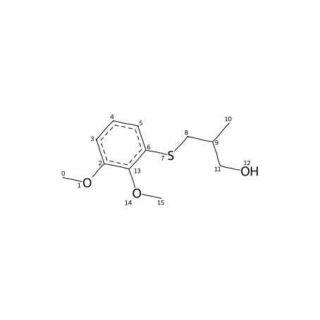 COc1cccc(SCC(C)CO)c1OC